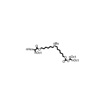 CCCCCCCCC(CCCCCCCC)OC(=O)OCCCCCCN(CCCC)CCCCCCOC(=O)C(CCCCCC)CCCCCCCC